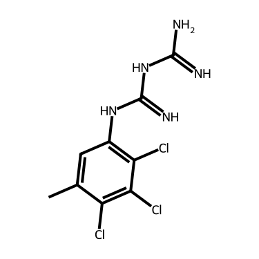 Cc1cc(NC(=N)NC(=N)N)c(Cl)c(Cl)c1Cl